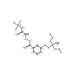 CCCC(O)(CCC)CCc1cccc(C(=O)CCNC(=O)OC(C)(C)C)c1